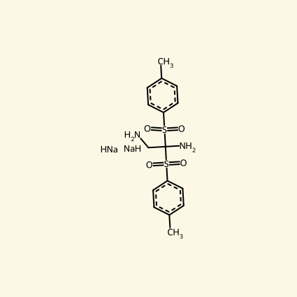 Cc1ccc(S(=O)(=O)C(N)(CN)S(=O)(=O)c2ccc(C)cc2)cc1.[NaH].[NaH]